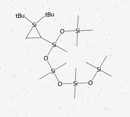 CC(C)(C)[Si]1(C(C)(C)C)CC1[Si](C)(O[Si](C)(C)C)O[Si](C)(C)O[Si](C)(C)O[Si](C)(C)C